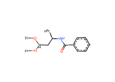 CCCC(C[SiH](OCC)OCC)NC(=O)c1ccccc1